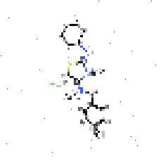 CCCN1C(=NC2CCCCC2)SCC1N(Cc1ccc(C)cc1)C(C)=O.Cl